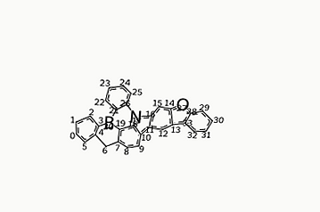 c1ccc2c(c1)Cc1ccc3c4cc5c(cc4n4c3c1B2c1ccccc1-4)oc1ccccc15